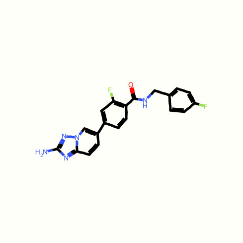 Nc1nc2ccc(-c3ccc(C(=O)NCc4ccc(F)cc4)c(F)c3)cn2n1